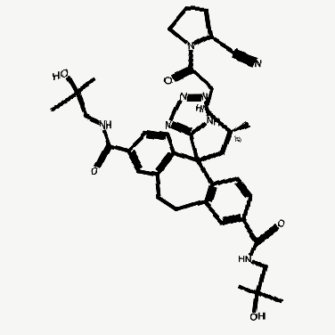 C[C@@H](CC1(c2nnn[nH]2)c2ccc(C(=O)NCC(C)(C)O)cc2CCc2cc(C(=O)NCC(C)(C)O)ccc21)NCC(=O)N1CCCC1C#N